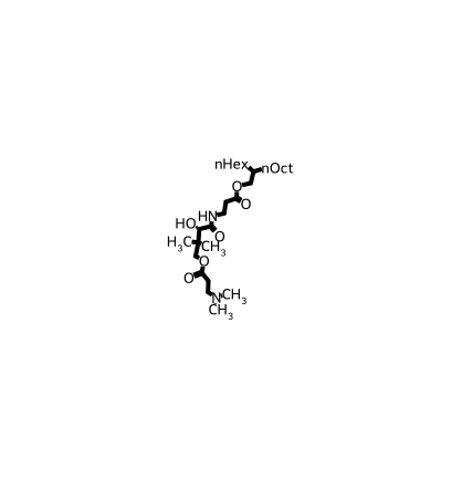 CCCCCCCCC(CCCCCC)COC(=O)CCNC(=O)[C@H](O)C(C)(C)COC(=O)CCN(C)C